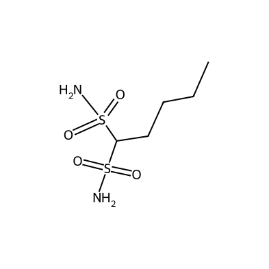 CCCCC(S(N)(=O)=O)S(N)(=O)=O